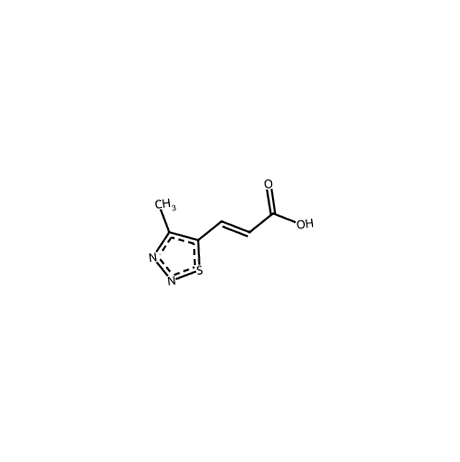 Cc1nnsc1C=CC(=O)O